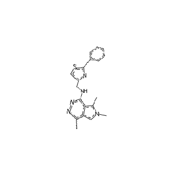 Cc1nnc(NCc2csc(-c3ccccc3)n2)c2c(C)n(C)cc12